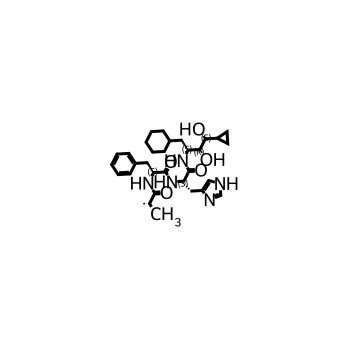 C[CH]C(=O)N[C@@H](Cc1ccccc1)C(=O)N[C@@H](Cc1c[nH]cn1)C(=O)N[C@@H](CC1CCCCC1)[C@@H](O)[C@@H](O)C1CC1